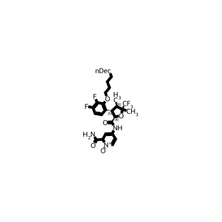 CCCCCCCCCCCCCCOc1c([C@@H]2[C@@H](C)[C@@](C)(C(F)(F)F)O[C@H]2C(=O)NC2=CC(C(N)=O)[N+](=O)C=C2)ccc(F)c1F